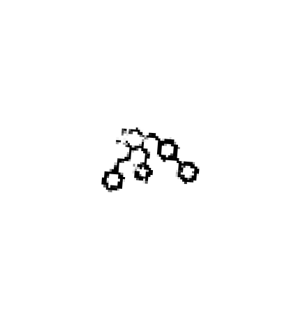 CC(C)CN(Cc1ccc(-c2ccccn2)cc1)C(Cc1cncs1)C(O)[CH]Cc1ccccc1